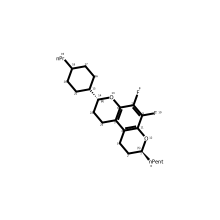 CCCCC[C@H]1CCc2c3c(c(F)c(F)c2O1)O[C@@H](C1CCC(CCC)CC1)CC3